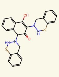 O=C1C(N2Cc3ccccc3SN2)=C(O)c2ccccc2C1N1Cc2ccccc2SN1